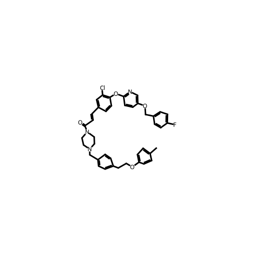 Cc1ccc(OCCc2ccc(CN3CCN(C(=O)C=Cc4ccc(Oc5ccc(OCc6ccc(F)cc6)cn5)c(Cl)c4)CC3)cc2)cc1